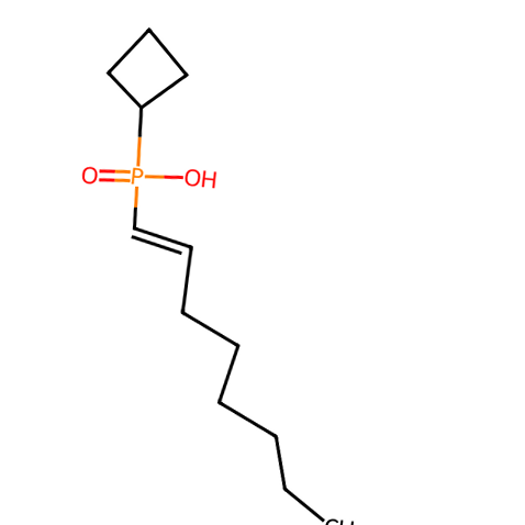 CCCCCCC=CP(=O)(O)C1CCC1